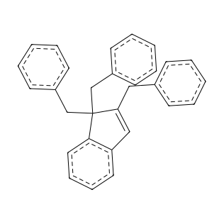 C1=C(Cc2ccccc2)C(Cc2ccccc2)(Cc2ccccc2)c2ccccc21